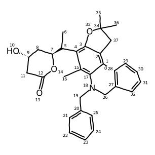 Cc1c2c(c(C(C)[C@@H]3C[C@@H](O)CC(=O)O3)c(C)c1N(Cc1ccccc1)Cc1ccccc1)OC(C)(C)C2